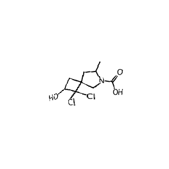 CC1CC2(CC(O)C2(Cl)Cl)CN1C(=O)O